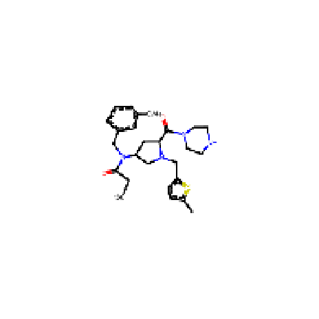 COc1cccc(CN(C(=O)CC(C)(C)C)C2CC(C(=O)N3CCNCC3)N(Cc3ccc(C)s3)C2)c1